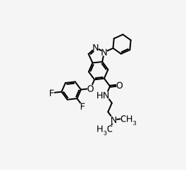 CN(C)CCNC(=O)c1cc2c(cnn2C2C=CCCC2)cc1Oc1ccc(F)cc1F